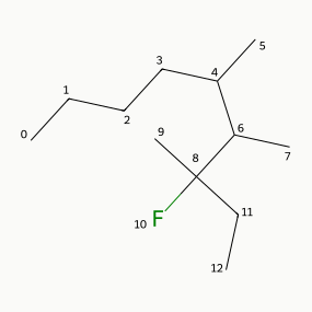 CCCCC(C)C(C)C(C)(F)CC